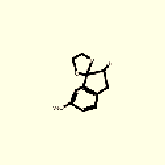 COc1ccc2c(c1)C1(OCCO1)C(Br)C2